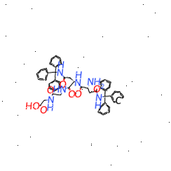 N[C@H](CC(=O)NC(c1ccccc1)(c1ccccc1)c1ccccc1)C(=O)N[C@H](CC(=O)NC(c1ccccc1)(c1ccccc1)c1ccccc1)C(=O)NCC(=O)NCC(=O)O